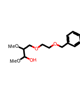 COC(O)C(COCCOCc1ccccc1)OC